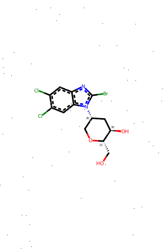 OC[C@@H]1OC[C@H](n2c(Br)nc3cc(Cl)c(Cl)cc32)C[C@H]1O